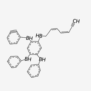 C#C/C=C\C=C/CBc1cc(Bc2ccccc2)c(Bc2ccccc2)cc1Bc1c#cccc1